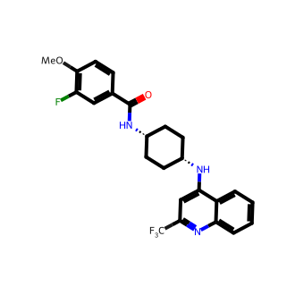 COc1ccc(C(=O)N[C@H]2CC[C@@H](Nc3cc(C(F)(F)F)nc4ccccc34)CC2)cc1F